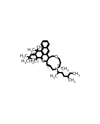 C=C1C2=NC3/C=C/CN(C(C)CCC(C)CC)[C@@H](C)CCOCC3c3cc4ccccc4c(c32)C(C)(C)/C1=C/C(C)(C)C